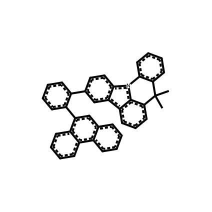 CC1(C)c2ccccc2-n2c3ccc(-c4ccccc4-c4cc5ccccc5c5ccccc45)cc3c3cccc1c32